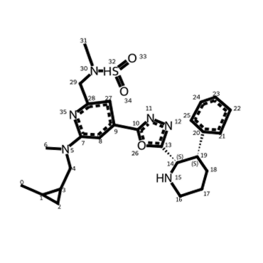 CC1CC1CN(C)c1cc(-c2nnc([C@H]3NCCC[C@H]3c3ccccc3)o2)cc(CN(C)[SH](=O)=O)n1